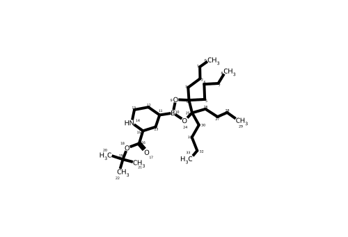 CCCCC1(CCCC)OB(C2CCNC(C(=O)OC(C)(C)C)C2)OC1(CCCC)CCCC